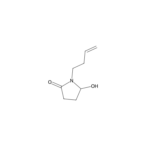 C=CCCN1C(=O)CCC1O